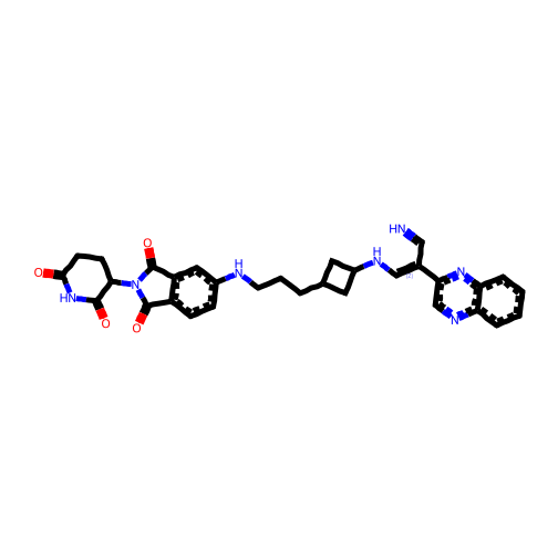 N=C/C(=C\NC1CC(CCCNc2ccc3c(c2)C(=O)N(C2CCC(=O)NC2=O)C3=O)C1)c1cnc2ccccc2n1